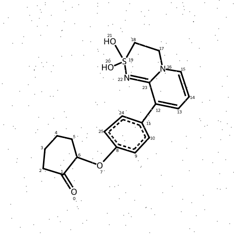 O=C1CCCCC1Oc1ccc(C2=CC=CN3CCS(O)(O)N=C23)cc1